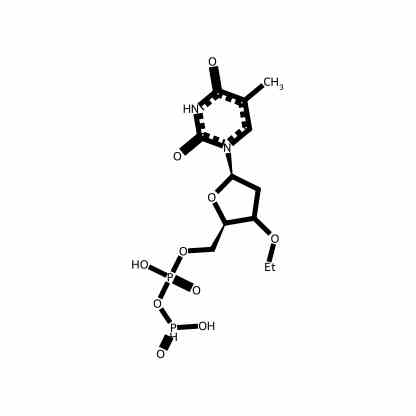 CCOC1C[C@H](n2cc(C)c(=O)[nH]c2=O)O[C@@H]1COP(=O)(O)O[PH](=O)O